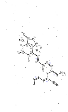 C#C/C(=C/C=C\C)CC(/C=C\C(=C)/C=C/[C@H]1C(C)[C@@H](C)C[C@@]2(O)C(=O)O[C@H](C)[C@@H]12)=C/N